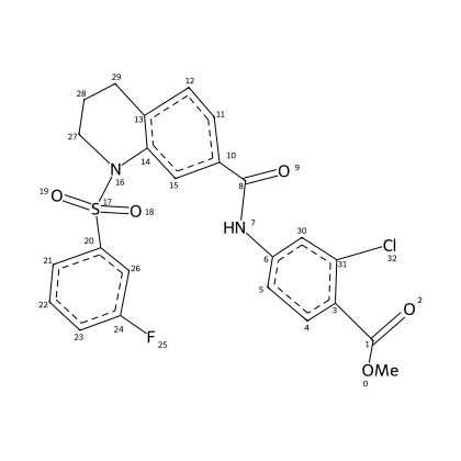 COC(=O)c1ccc(NC(=O)c2ccc3c(c2)N(S(=O)(=O)c2cccc(F)c2)CCC3)cc1Cl